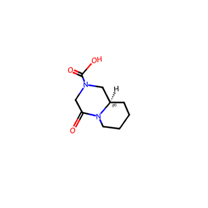 O=C(O)N1CC(=O)N2CCCC[C@@H]2C1